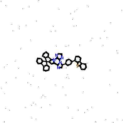 c1ccc2c(c1)-c1ccccc1C21c2ccccc2-c2c1cc1c3ncc(-c4ccc(-c5cccc6c5sc5ccccc56)cc4)n3c3nccnc3n21